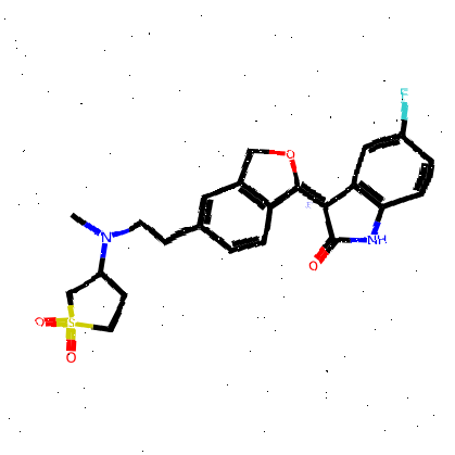 CN(CCc1ccc2c(c1)CO/C2=C1/C(=O)Nc2ccc(F)cc21)C1CCS(=O)(=O)C1